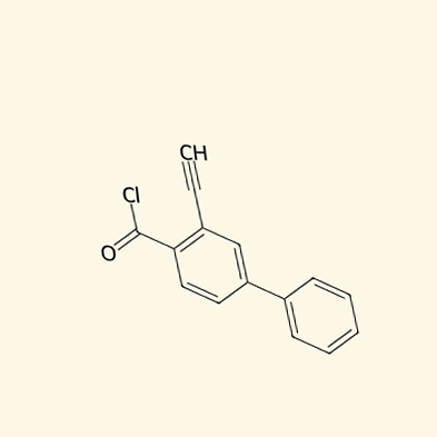 C#Cc1cc(-c2ccccc2)ccc1C(=O)Cl